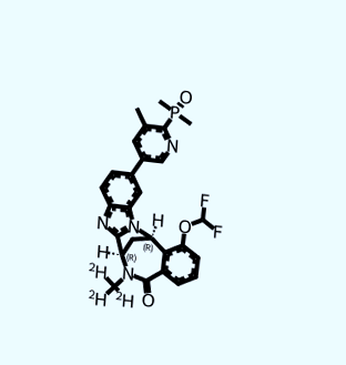 [2H]C([2H])([2H])N1C(=O)c2cccc(OC(F)F)c2[C@H]2C[C@@H]1c1nc3ccc(-c4cnc(P(C)(C)=O)c(C)c4)cc3n12